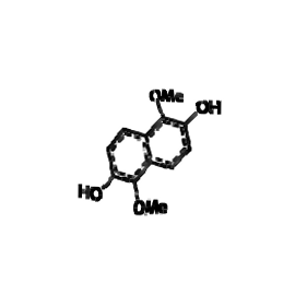 COc1c(O)ccc2c(OC)c(O)ccc12